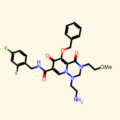 COCCN1CN(CCN)n2cc(C(=O)NCc3ccc(F)cc3F)c(=O)c(OCc3ccccc3)c2C1=O